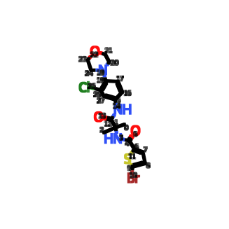 CC(C)(NC(=O)c1ccc(Br)s1)C(=O)Nc1ccc(N2CCOCC2)c(Cl)c1